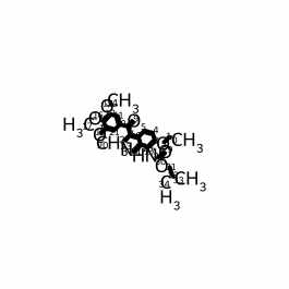 CCOc1ccc2c(C(=O)c3cc(OC)c(OC)c(OC)c3)cncc2c1NC(=O)OCC(C)C